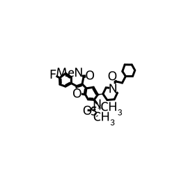 CNC(=O)c1c(-c2ccc(F)cc2)oc2cc(N(C)[S+](C)[O-])c([C@@H]3CCCN(C(=O)CC4CCCCC4)C3)cc12